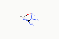 N=C(N)N(N)N.O=C(O)O